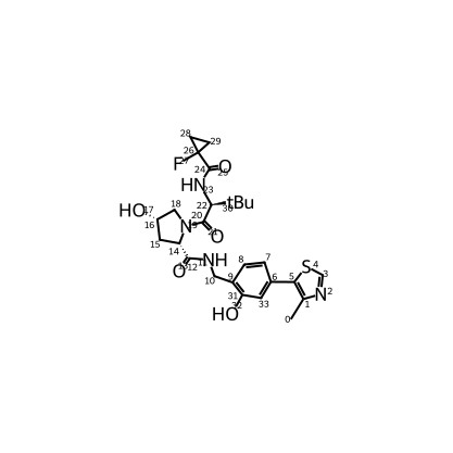 Cc1ncsc1-c1ccc(CNC(=O)[C@@H]2C[C@H](O)CN2C(=O)[C@@H](NC(=O)C2(F)CC2)C(C)(C)C)c(O)c1